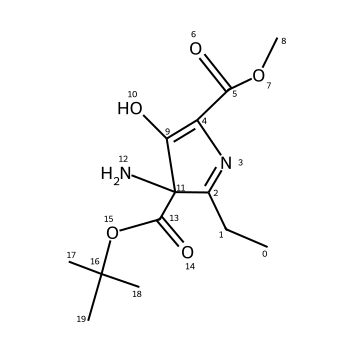 CCC1=NC(C(=O)OC)=C(O)C1(N)C(=O)OC(C)(C)C